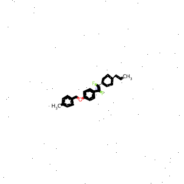 CCC[C@H]1CC[C@H](/C(F)=C(\F)c2ccc(OCc3ccc(C)cc3)cc2)CC1